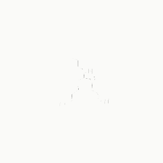 [CH2]CC[SiH2]C(OCCCC)OCCCC